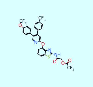 O=C(COC(=O)C(F)(F)F)Nc1nc2c(Oc3cc(-c4ccc(C(F)(F)F)cc4)c(-c4ccc(OC(F)(F)F)cc4)cn3)cccc2s1